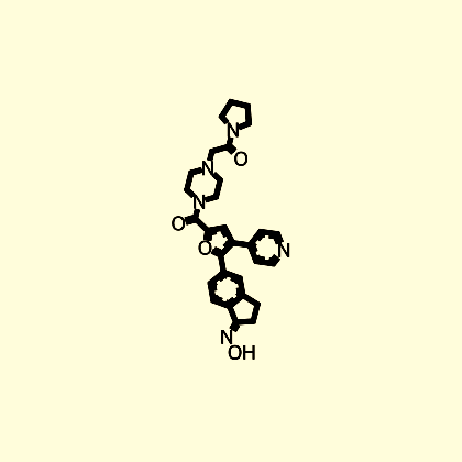 O=C(CN1CCN(C(=O)c2cc(-c3ccncc3)c(-c3ccc4c(c3)CC/C4=N\O)o2)CC1)N1CCCC1